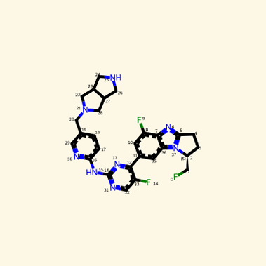 FC[C@@H]1CCc2nc3c(F)cc(-c4nc(Nc5ccc(CN6CC7CNCC7C6)cn5)ncc4F)cc3n21